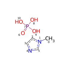 Cn1ccnc1.O=P(O)(O)O